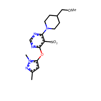 COCC1CCN(c2ncnc(Oc3cc(C)nn3C)c2[N+](=O)[O-])CC1